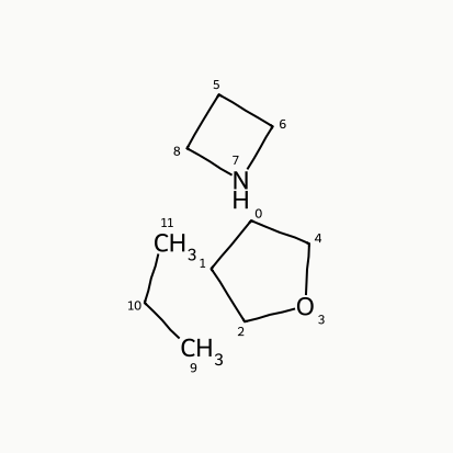 C1CCOC1.C1CNC1.CCC